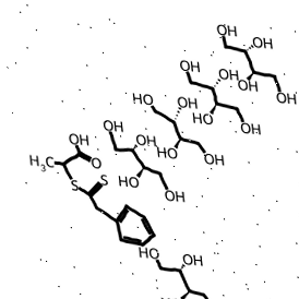 CC(SC(=S)Cc1ccccc1)C(=O)O.OC[C@@H](O)[C@@H](O)CO.OC[C@@H](O)[C@@H](O)CO.OC[C@@H](O)[C@@H](O)CO.OC[C@@H](O)[C@@H](O)CO.OC[C@@H](O)[C@@H](O)CO